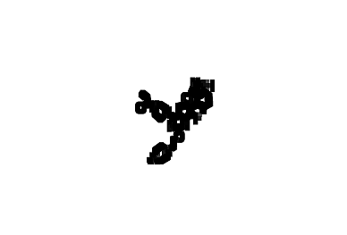 C=CC(=O)N1CCN(c2nc(OCCN3CCN(C)CC3)nc3c(F)c(-c4c(C)ccc5[nH]ncc45)c(Cl)cc23)CC1